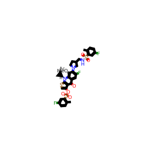 COc1c(N2CCC(CNS(=O)(=O)c3cc(F)ccc3C)C2)c(F)cc2c(=O)c3c(OS(=O)(=O)c4cc(F)ccc4C)csc3n([C@@H]3CC3C(C)=O)c12